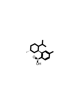 Cc1ccc(S(=O)O)c([C@H]2C[C@H](C)CCC2C(C)C)c1